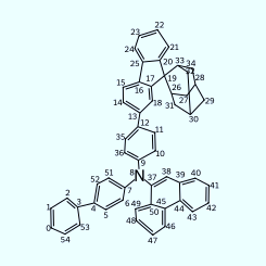 c1ccc(-c2ccc(N(c3ccc(-c4ccc5c(c4)C4(c6ccccc6-5)C5CC6CC(C5)CC4C6)cc3)c3cc4ccccc4c4ccccc34)cc2)cc1